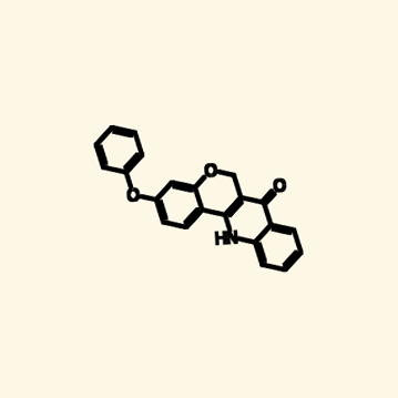 O=c1c2c([nH]c3ccccc13)-c1ccc(Oc3ccccc3)cc1OC2